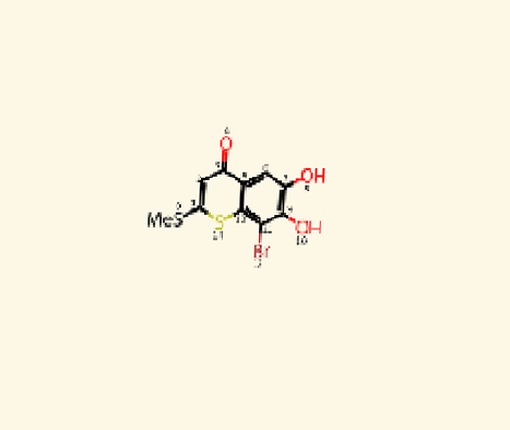 CSc1cc(=O)c2cc(O)c(O)c(Br)c2s1